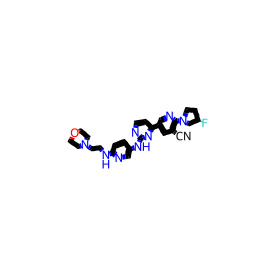 N#Cc1cc(-c2ccnc(Nc3ccc(NCCN4CCOCC4)nc3)n2)cnc1N1CC[C@H](F)C1